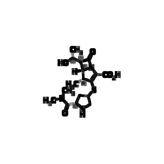 C[C@@H](O)[C@H]1C(=O)N2C(C(=O)O)=C(SC3CN[C@H](C(=O)N(C)C)C3)[C@H](C)[C@H]12